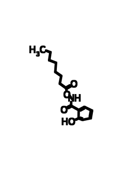 CCCCCCCC(=O)ONC(=O)c1ccccc1O